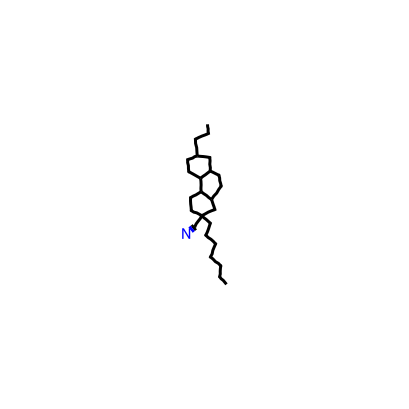 CCCCCCCC1(C#N)CCC2C(CCC3CC(CCC)CCC32)C1